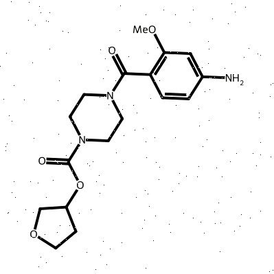 COc1cc(N)ccc1C(=O)N1CCN(C(=O)OC2CCOC2)CC1